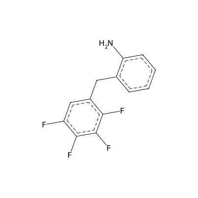 Nc1ccccc1Cc1cc(F)c(F)c(F)c1F